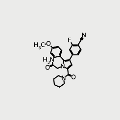 COc1ccc(-c2c(-c3ccc(C#N)c(F)c3)cc(C(=O)N3CCCCC3)n2CC(N)=O)cc1